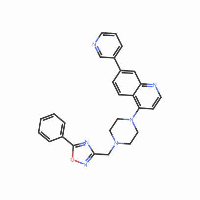 c1ccc(-c2nc(CN3CCN(c4ccnc5cc(-c6cccnc6)ccc45)CC3)no2)cc1